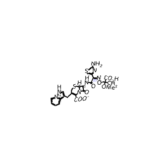 COC(C)(O/N=C(\C(=O)N[C@@H]1C(=O)N2C(C(=O)[O-])=C(Cc3c[nH][n+]4ccccc34)CS[C@@H]12)c1csc(N)n1)C(=O)O